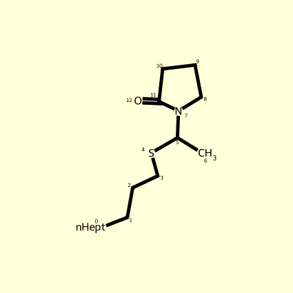 CCCCCCCCCCSC(C)N1CCCC1=O